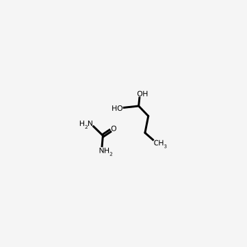 CCCC(O)O.NC(N)=O